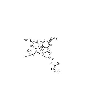 CCCCNC(=O)CCc1ccc(C(SCCC(C)O)(c2ccc(OC)cc2)c2ccc(OC)cc2)cc1